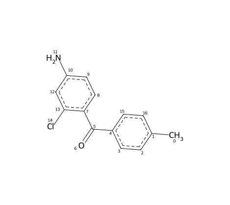 Cc1ccc(C(=O)c2ccc(N)cc2Cl)cc1